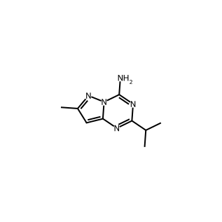 Cc1cc2nc(C(C)C)nc(N)n2n1